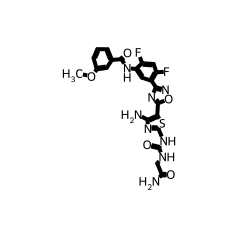 COc1cccc(C(=O)Nc2cc(-c3noc(-c4sc(NC(=O)NCC(N)=O)nc4N)n3)c(F)cc2F)c1